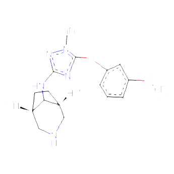 CC(C)n1nc(NC2[C@@H]3CC[C@H]2CNC3)nc1Oc1cccc(OC(F)(F)F)c1